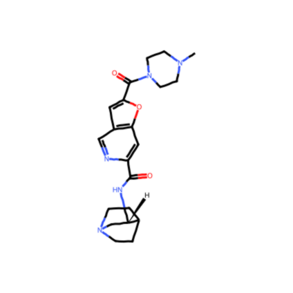 CN1CCN(C(=O)c2cc3cnc(C(=O)N[C@H]4CN5CCC4CC5)cc3o2)CC1